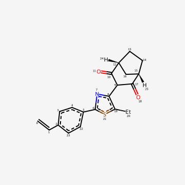 C=Cc1ccc(-c2nc(C3C(=O)[C@@H]4CC[C@@H](C4)C3=O)c(CC)s2)cc1